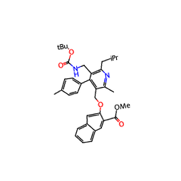 COC(=O)c1cc2ccccc2cc1OCc1c(C)nc(CC(C)C)c(CNC(=O)OC(C)(C)C)c1-c1ccc(C)cc1